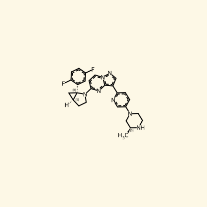 C[C@H]1CN(c2ccc(-c3cnn4ccc(N5CC[C@H]6C[C@]65c5cc(F)ccc5F)nc34)nc2)CCN1